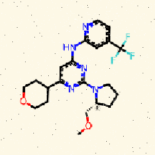 COC[C@H]1CCCN1c1nc(Nc2cc(C(F)(F)F)ccn2)cc(C2CCOCC2)n1